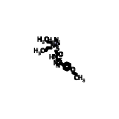 CCCCN(CCC)/C(=N\N)SCC(=O)Nc1nnc(-c2ccc(OCCC)cc2)s1